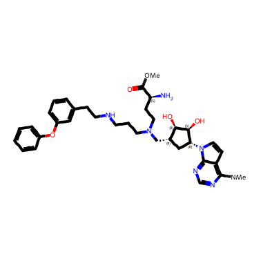 CNc1ncnc2c1ccn2[C@@H]1C[C@H](CN(CCCNCCc2cccc(Oc3ccccc3)c2)CC[C@H](N)C(=O)OC)[C@@H](O)[C@H]1O